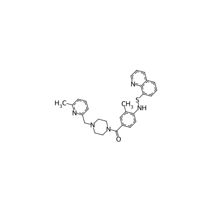 Cc1cccc(CN2CCN(C(=O)c3ccc(NSc4cccc5cccnc45)c(C)c3)CC2)n1